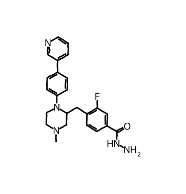 CN1CCN(c2ccc(-c3cccnc3)cc2)C(Cc2ccc(C(=O)NN)cc2F)C1